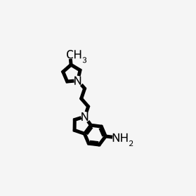 CC1CCN(CCCN2CCc3ccc(N)cc32)C1